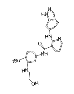 CC(C)(C)c1ccc(NC(=O)c2cccnc2Nc2ccc3cn[nH]c3c2)cc1NCCO